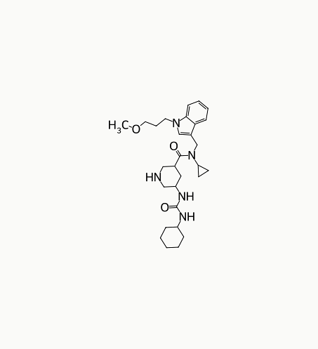 COCCCn1cc(CN(C(=O)C2CNCC(NC(=O)NC3CCCCC3)C2)C2CC2)c2ccccc21